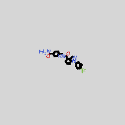 NC(=O)c1ccc(CNC(=O)c2cccc3c2cnn3-c2ccc(F)cc2)cc1